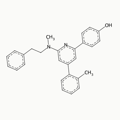 Cc1ccccc1-c1cc(-c2ccc(O)cc2)nc(N(C)CCc2ccccc2)c1